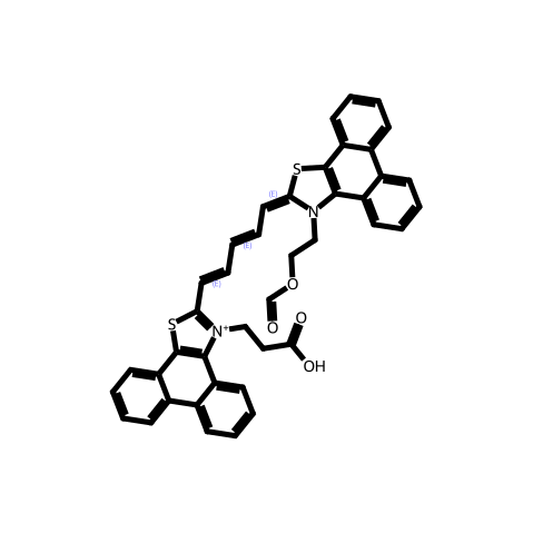 O=COCCN1\C(=C/C=C/C=C/c2sc3c4ccccc4c4ccccc4c3[n+]2CCC(=O)O)Sc2c1c1ccccc1c1ccccc21